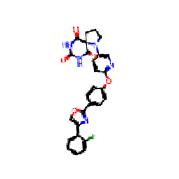 O=C1NC(=O)C2(CCCN2c2ccc(Oc3ccc(-c4nc(-c5ccccc5F)co4)cc3)nc2)C(=O)N1